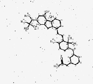 CC(=O)O[C@@H]([C@H]1C[C@@H](C)C2C(CC3[C@H](CCC4C(C)CC[C@H](OC5CN(CC(N)=O)CCO5)C4(C)C)CCC[C@@]32C)O1)C(C)(C)O